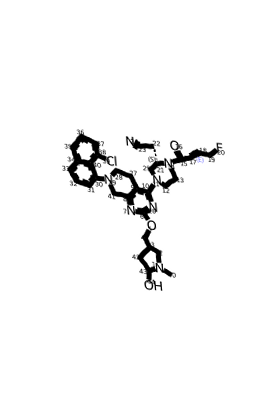 CN1CC(COc2nc3c(c(N4CCN(C(=O)/C=C/CF)[C@@H](CC#N)C4)n2)CCN(c2cccc4cccc(Cl)c24)C3)CC1O